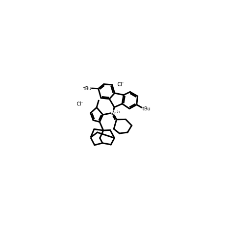 CC1C=CC(C23CC4CC(CC(C4)C2)C3)=[C]1[Zr+2](=[C]1CCCCC1)[CH]1c2cc(C(C)(C)C)ccc2-c2ccc(C(C)(C)C)cc21.[Cl-].[Cl-]